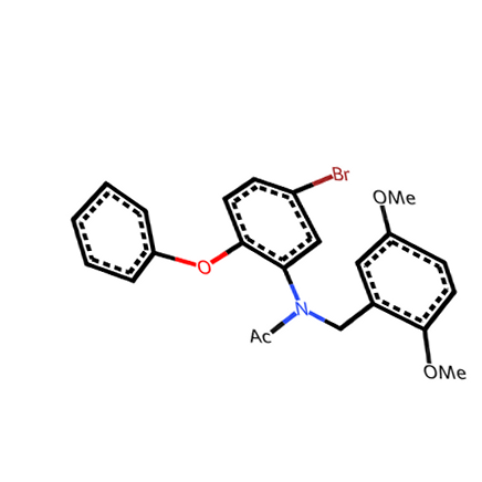 COc1ccc(OC)c(CN(C(C)=O)c2cc(Br)ccc2Oc2ccccc2)c1